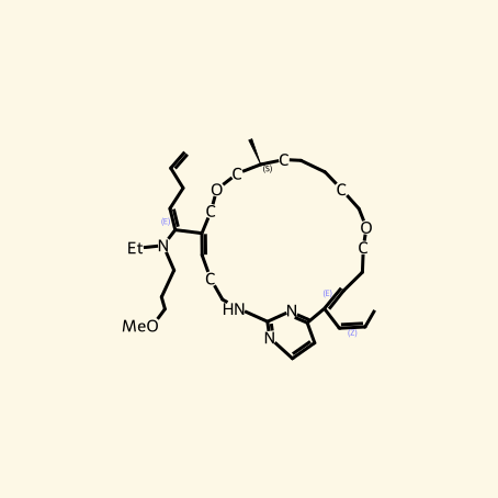 C=CC/C=C(\C1=CCCNc2nccc(n2)C(/C=C\C)=C/CCOCCCCC[C@H](C)COC1)N(CC)CCCOC